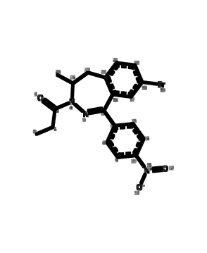 CCC(=O)N1N=C(c2ccc([N+](=O)[O-])cc2)c2cc(Br)ccc2CC1C